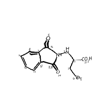 CC(C)C[C@H](NN1C(=O)c2ccccc2C1=O)C(=O)O